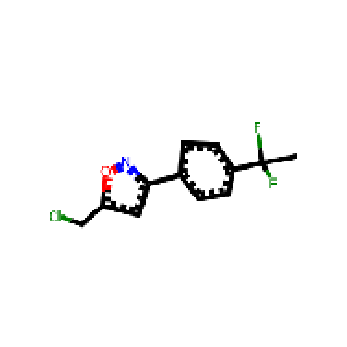 CC(F)(F)c1ccc(-c2cc(CCl)on2)cc1